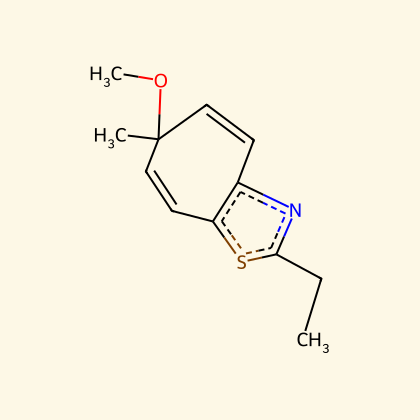 CCc1nc2c(s1)C=CC(C)(OC)C=C2